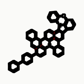 c1ccc(-c2ccc(-c3ccc(N(c4ccccc4-c4ccc5c(c4)c4cccc6c4n5-c4ccccc4O6)c4ccccc4-c4cccc5ccccc45)cc3)cc2)cc1